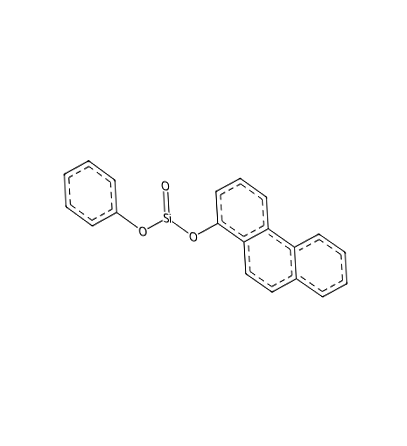 O=[Si](Oc1ccccc1)Oc1cccc2c1ccc1ccccc12